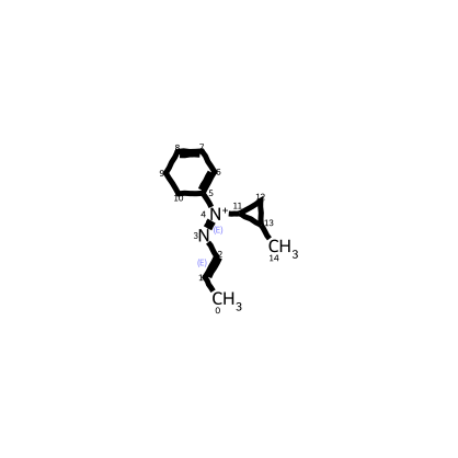 C/C=C/N=[N+](/C1=CC=CCC1)C1CC1C